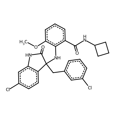 COc1cccc(C(=O)NC2CCC2)c1NC1(Cc2cccc(Cl)c2)C(=O)Nc2cc(Cl)ccc21